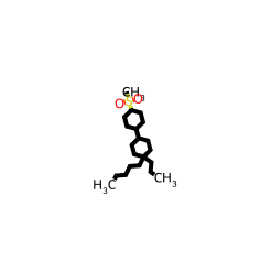 CCCCCC1(CCC)CCC(C2CCC(S(C)(=O)=O)CC2)CC1